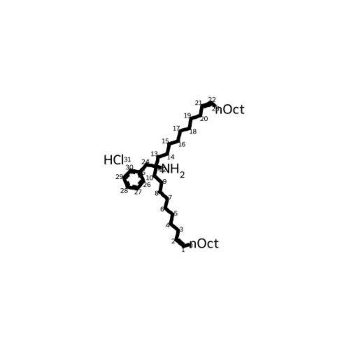 CCCCCCCC/C=C\CCCCCCCCC(N)(CCCCCCCC/C=C\CCCCCCCC)Cc1ccccc1.Cl